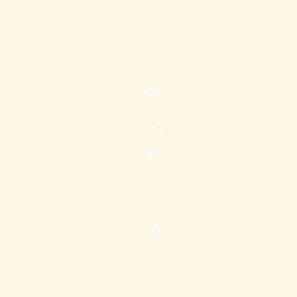 CC1=CC(Cl)C(NC(=O)CN2CCN(C(O)c3ccccc3SCc3cc(C)on3)CC2)C=C1